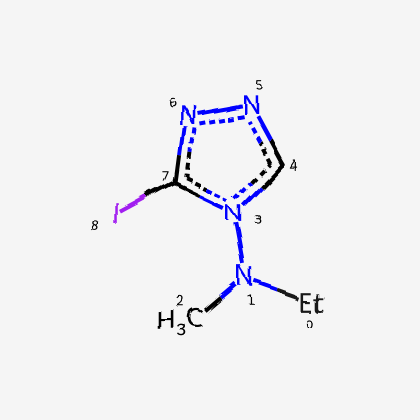 CCN(C)n1cnnc1I